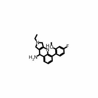 CCN1CC2=C(C1)C(N)c1cccc(-c3ccc(F)cc3OC)c1N2